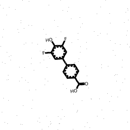 O=C(O)c1ccc(-c2cc(F)c(O)c(F)c2)cc1